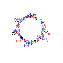 CCCC[C@H]1C(=O)N(C)[C@@H](CCCC)C(=O)N[C@@H](CC(C)C)C(=O)NCCCC(=O)NCC(=O)N[C@@H](Cc2ccc(O)cc2)C(=O)N(C)[C@@H](C)C(=O)N[C@@H](CC(N)=O)C(=O)N2CCC[C@H]2C(=O)N[C@@H](Cc2c[nH]cn2)C(=O)N[C@@H](CC(C)C)C(=O)N2C[C@H](O)C[C@H]2C(=O)N[C@@H](Cc2c[nH]c3ccccc23)C(=O)NCC(=O)N[C@@H](Cc2c[nH]c3ccccc23)C(=O)N1C